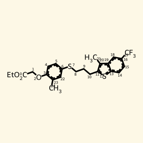 CCOC(=O)COc1ccc(SCCCc2sc3ccc(C(F)(F)F)cc3c2C)cc1C